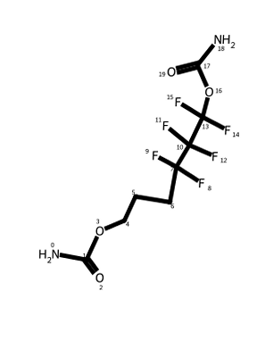 NC(=O)OCCCC(F)(F)C(F)(F)C(F)(F)OC(N)=O